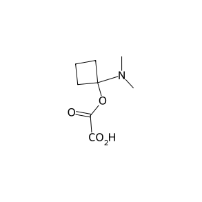 CN(C)C1(OC(=O)C(=O)O)CCC1